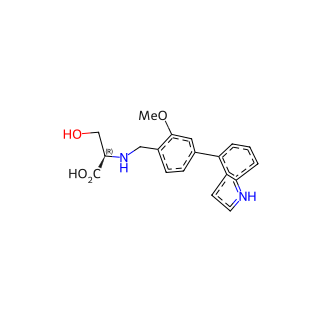 COc1cc(-c2cccc3[nH]ccc23)ccc1CN[C@H](CO)C(=O)O